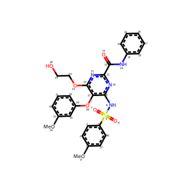 COc1ccc(S(=O)(=O)Nc2nc(C(=O)Nc3ccccc3)nc(OCCO)c2Oc2cccc(OC)c2)cc1